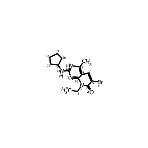 CCn1c(=O)c(Br)cc2c(C)nc(NC3CCCC3)nc21